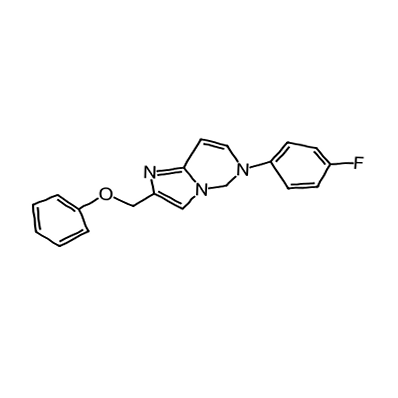 Fc1ccc(N2C=Cc3nc(COc4ccccc4)cn3C2)cc1